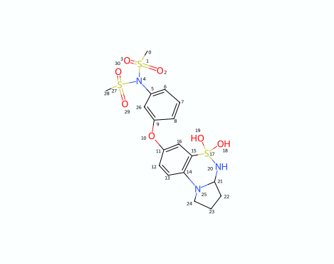 CS(=O)(=O)N(c1cccc(Oc2ccc3c(c2)S(O)(O)NC2CCCN32)c1)S(C)(=O)=O